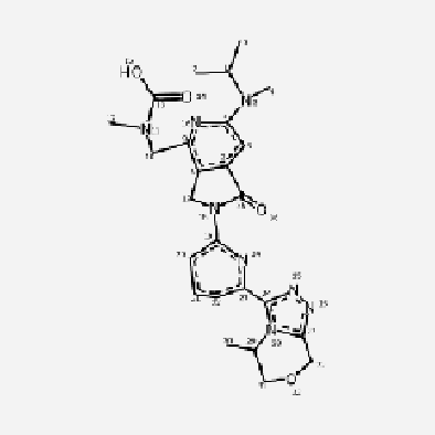 CC(C)N(C)c1cc2c(c(CN(C)C(=O)O)n1)CN(c1cccc(-c3nnc4n3C(C)COC4)n1)C2=O